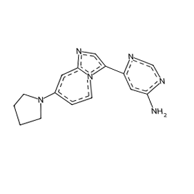 Nc1cc(-c2cnc3cc(N4CCCC4)ccn23)ncn1